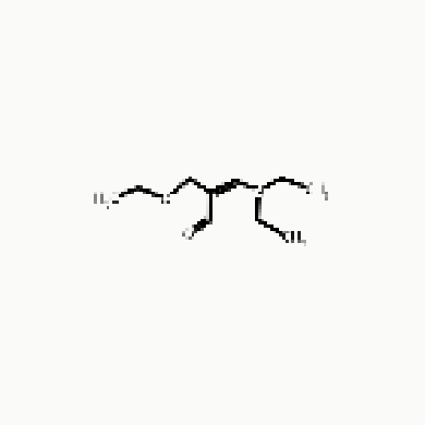 CCOC/C(C=O)=C/N(CC)CC